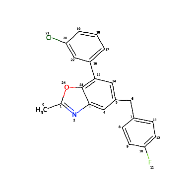 Cc1nc2cc(Cc3ccc(F)cc3)cc(-c3cccc(Cl)c3)c2o1